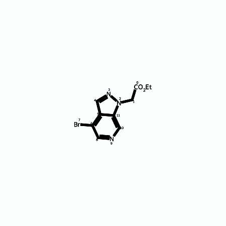 CCOC(=O)Cn1ncc2c(Br)cncc21